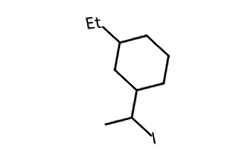 CCC1CCCC(C(C)I)C1